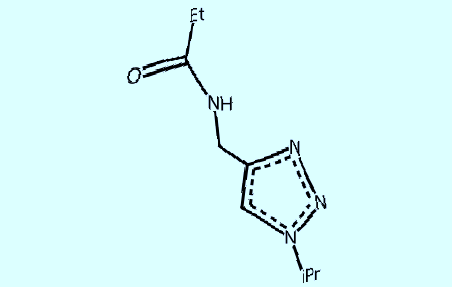 CCC(=O)NCc1cn(C(C)C)nn1